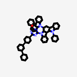 c1ccc(-c2cccc(-c3ccc(-c4nc(-c5ccccc5)nc(-n5c6ccccc6c6c5c(-n5c7ccccc7c7ccccc75)cc5c7ccccc7n(-c7ccccc7)c56)n4)cc3)c2)cc1